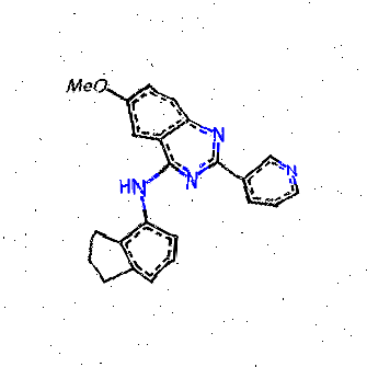 COc1ccc2nc(-c3cccnc3)nc(Nc3cccc4c3CCC4)c2c1